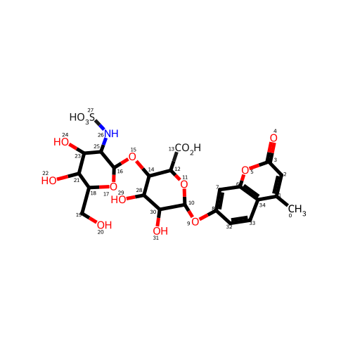 Cc1cc(=O)oc2cc(OC3OC(C(=O)O)C(OC4OC(CO)C(O)C(O)C4NS(=O)(=O)O)C(O)C3O)ccc12